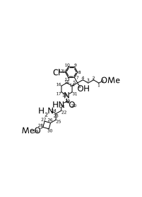 COCCCC[C@@](O)(c1cccc(Cl)c1)[C@@H]1CCCN(C(=O)NCC(N)CC2CC(OC)C2)C1